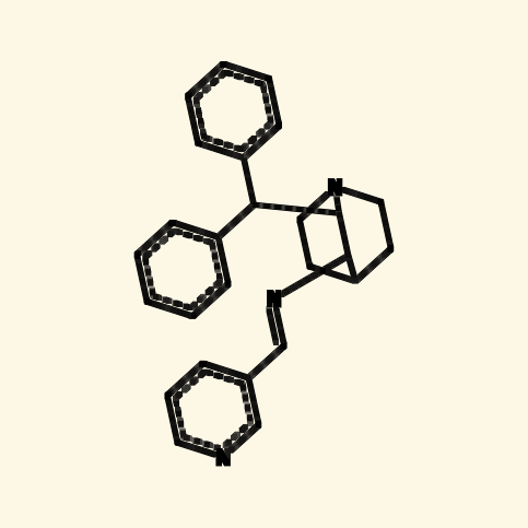 C(=NC1C2CCN(CC2)C1C(c1ccccc1)c1ccccc1)c1cccnc1